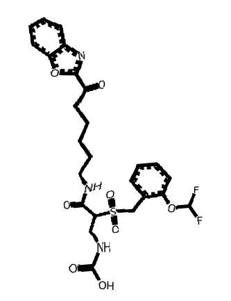 O=C(O)NCC(C(=O)NCCCCCC(=O)c1nc2ccccc2o1)S(=O)(=O)Cc1ccccc1OC(F)F